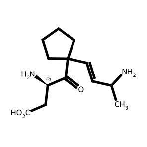 CC(N)C=CC1(C(=O)[C@H](N)CC(=O)O)CCCC1